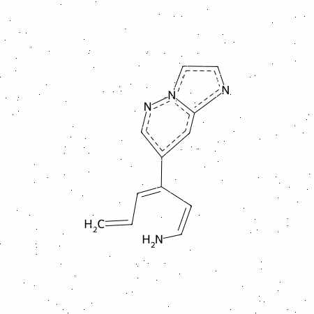 C=C/C=C(\C=C/N)c1cnn2ccnc2c1